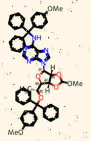 COc1ccc(C(Nc2ncnc3c2ncn3[C@@H]2O[C@H]([C@@H](C)OC(c3ccccc3)(c3ccccc3)c3ccc(OC)cc3)[C@H]3OC(OC)O[C@H]32)(c2ccccc2)c2ccccc2)cc1